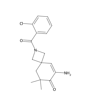 CC1(C)CC2(C=C(N)C1=O)CN(C(=O)c1ccccc1Cl)C2